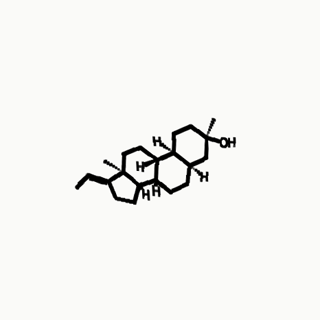 CC=C1CC[C@H]2[C@@H]3CC[C@@H]4C[C@](C)(O)CC[C@@H]4[C@H]3CC[C@]12C